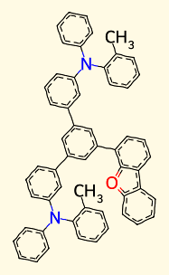 Cc1ccccc1N(c1ccccc1)c1cccc(-c2cc(-c3cccc(N(c4ccccc4)c4ccccc4C)c3)cc(-c3cccc4c3oc3ccccc34)c2)c1